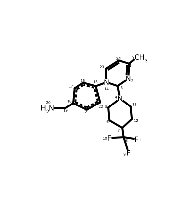 CC1=NC(N2CCC(C(F)(F)F)CC2)N(c2ccc(CN)cc2)C=C1